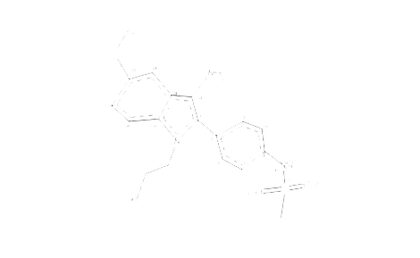 CCCn1c(-c2ccc(NS(C)(=O)=O)cc2)c(N)c2cc(OC)ccc21